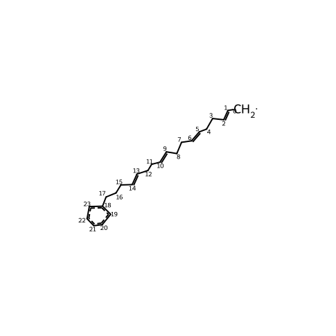 [CH2]/C=C/CC/C=C/CC/C=C/CC/C=C/CCCc1ccccc1